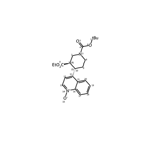 CCOC(=O)[C@H]1CN(C(=O)OC(C)(C)C)CC[C@@H]1c1cc[n+]([O-])c2ccccc12